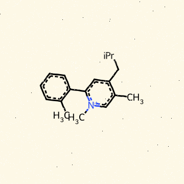 Cc1c[n+](C)c(-c2ccccc2C)cc1CC(C)C